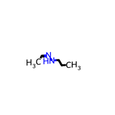 C/C=N\NCCC